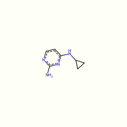 Nc1nccc(NC2CC2)n1